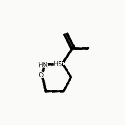 C=C(C)[SiH]1CCCON1